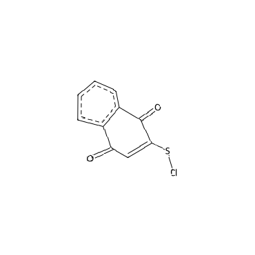 O=C1C=C(SCl)C(=O)c2ccccc21